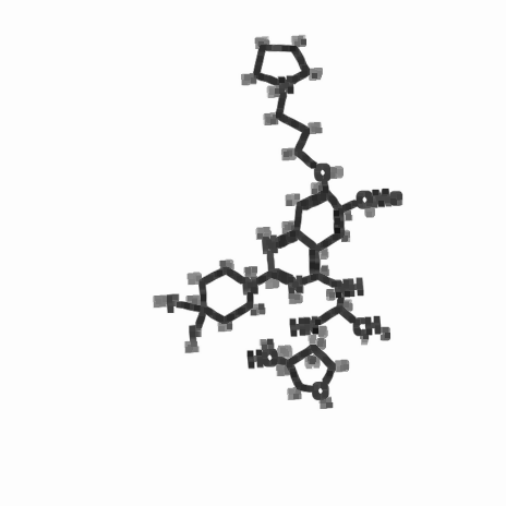 COc1cc2c(NC(C)N[C@@H]3COC[C@H]3O)nc(N3CCC(F)(F)CC3)nc2cc1OCCCN1CCCC1